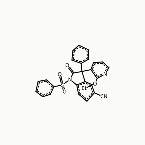 CCOc1ncccc1C1(c2cc[c]cc2)C(=O)N(S(=O)(=O)c2ccccc2)c2ccc(C#N)cc21